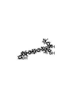 Cc1ncsc1-c1ccc(C(C)NC(=O)[C@@H]2C[C@@H](O)CN2C(=O)C(c2cc(C3CCN(c4cnc(N5CCC(c6sc7nnc(-c8ccccc8O)cc7c6C)CC5)nc4)CC3)no2)C(C)C)cc1